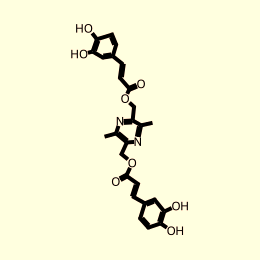 Cc1nc(COC(=O)/C=C/c2ccc(O)c(O)c2)c(C)nc1COC(=O)/C=C/c1ccc(O)c(O)c1